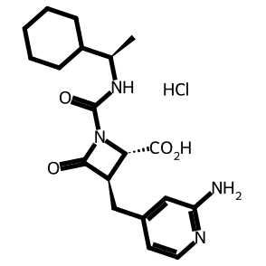 C[C@@H](NC(=O)N1C(=O)[C@H](Cc2ccnc(N)c2)[C@H]1C(=O)O)C1CCCCC1.Cl